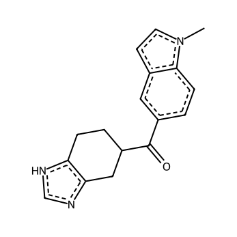 Cn1ccc2cc(C(=O)C3CCc4[nH]cnc4C3)ccc21